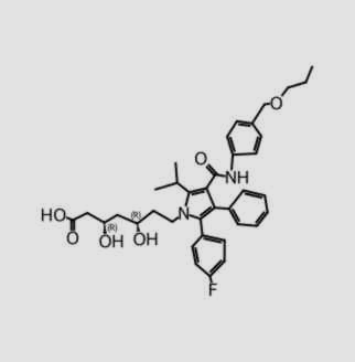 CCCOCc1ccc(NC(=O)c2c(-c3ccccc3)c(-c3ccc(F)cc3)n(CC[C@@H](O)C[C@@H](O)CC(=O)O)c2C(C)C)cc1